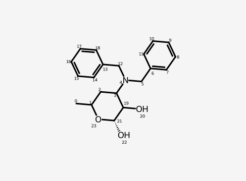 CC1CC(N(Cc2ccccc2)Cc2ccccc2)C(O)[C@H](O)O1